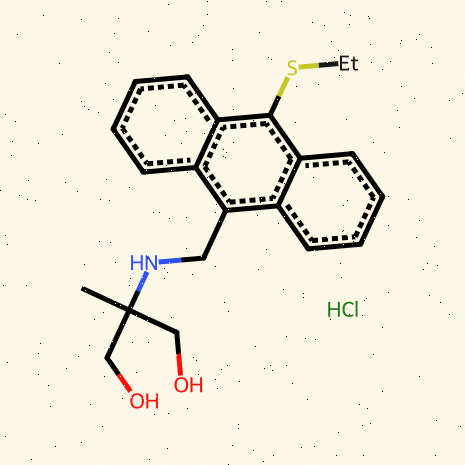 CCSc1c2ccccc2c(CNC(C)(CO)CO)c2ccccc12.Cl